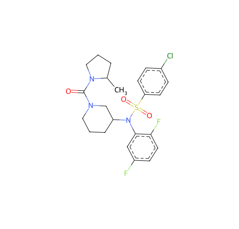 CC1CCCN1C(=O)N1CCCC(N(c2cc(F)ccc2F)S(=O)(=O)c2ccc(Cl)cc2)C1